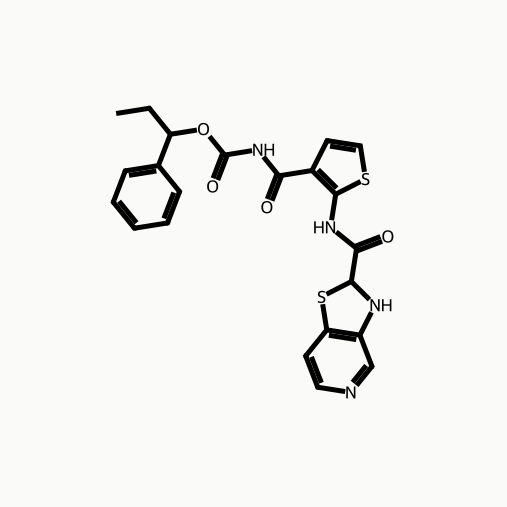 CCC(OC(=O)NC(=O)c1ccsc1NC(=O)C1Nc2cnccc2S1)c1ccccc1